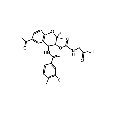 CC(=O)c1ccc2c(c1)[C@H](NC(=O)c1ccc(F)c(Cl)c1)[C@H](OC(=O)NCC(=O)O)C(C)(C)O2